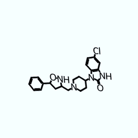 O=c1[nH]c2cc(Cl)ccc2n1C1CCN(CC2CC(c3ccccc3)ON2)CC1